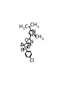 CC(C)c1cc(-c2nnc(C3(S(=O)(=O)c4ccc(Cl)cc4)CC3)o2)n(C)n1